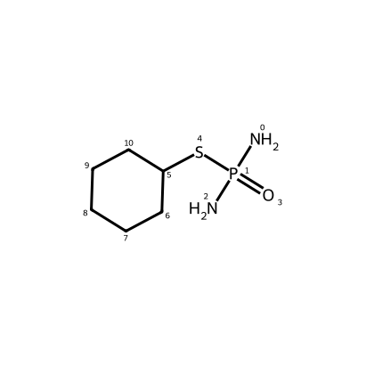 NP(N)(=O)SC1CCCCC1